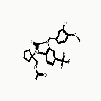 COc1ccc(Cn2c(=O)n(C3(COC(C)=O)CCCC3)c3ccc(C(F)(F)F)cc32)cc1Cl